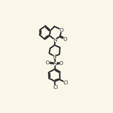 O=C1OCc2ccccc2N1C1CCN(S(=O)(=O)c2ccc(Cl)c(Cl)c2)CC1